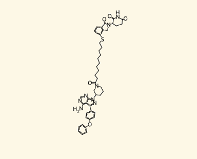 Nc1ncnc2c1c(-c1ccc(Oc3ccccc3)cc1)nn2C1CCCN(C(=O)CCCCCCCCCCSc2cccc3c2CN(C2CCC(=O)NC2=O)C3=O)C1